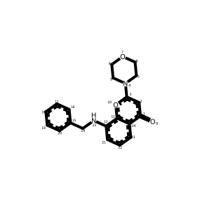 O=c1cc(N2CCOCC2)oc2c(NCc3ccccc3)cccc12